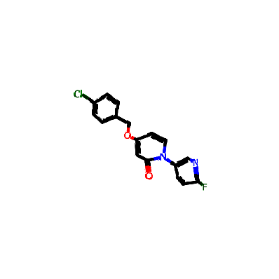 O=c1cc(OCc2ccc(Cl)cc2)ccn1-c1ccc(F)nc1